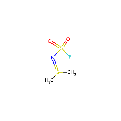 CS(C)=NS(=O)(=O)F